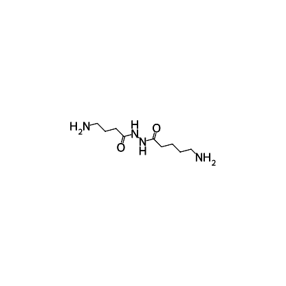 NCCCCC(=O)NNC(=O)CCCN